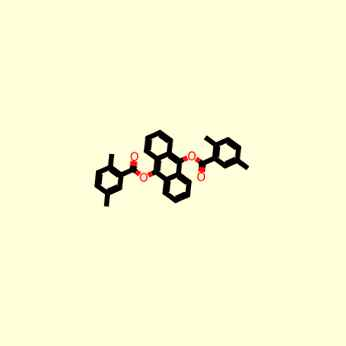 Cc1ccc(C)c(C(=O)Oc2c3ccccc3c(OC(=O)c3cc(C)ccc3C)c3ccccc23)c1